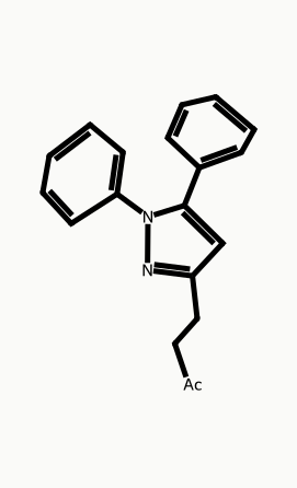 CC(=O)CCc1cc(-c2ccccc2)n(-c2ccccc2)n1